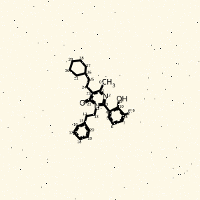 Cc1nc(-c2cccc(F)c2O)n(CCc2ccccc2)c(=O)c1CCC1CCCCC1